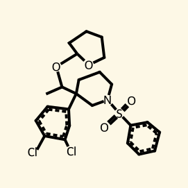 CC(OC1CCCCO1)C1(c2ccc(Cl)c(Cl)c2)CCCN(S(=O)(=O)c2ccccc2)C1